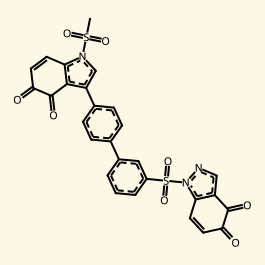 CS(=O)(=O)n1cc(-c2ccc(-c3cccc(S(=O)(=O)n4ncc5c4C=CC(=O)C5=O)c3)cc2)c2c1C=CC(=O)C2=O